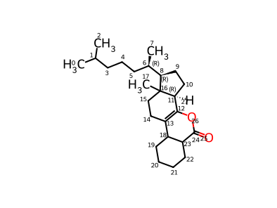 CC(C)CCC[C@@H](C)[C@H]1CC[C@H]2C3=C(CCC12C)C1CCCCC1C(=O)O3